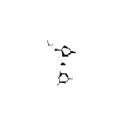 CCNC(=O)c1ccc(Br)cc1NC(=O)Nc1cc(Cl)cc(Br)c1